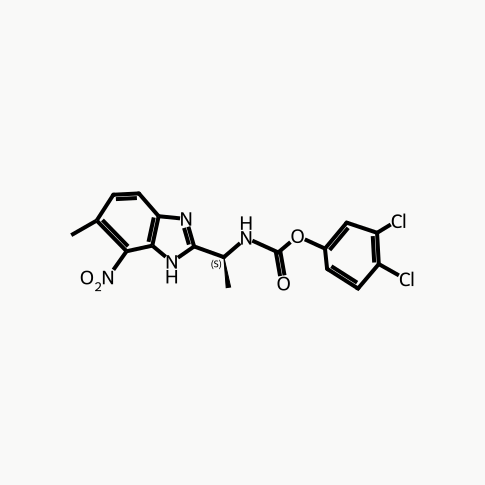 Cc1ccc2nc([C@H](C)NC(=O)Oc3ccc(Cl)c(Cl)c3)[nH]c2c1[N+](=O)[O-]